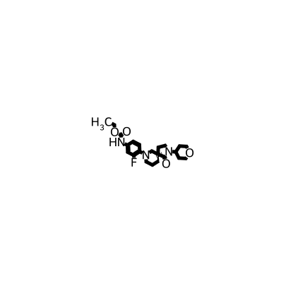 CCOC(=O)Nc1ccc(N2CCC[C@]3(CCN(C4CCOCC4)C3=O)C2)c(F)c1